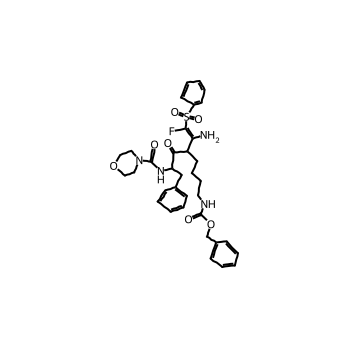 NC(=C(F)S(=O)(=O)c1ccccc1)C(CCCCNC(=O)OCc1ccccc1)C(=O)C(Cc1ccccc1)NC(=O)N1CCOCC1